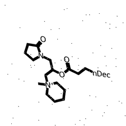 CCCCCCCCCCCCC(=O)OC(CN1CCCC1=O)C[N+]1(C)CCCCC1